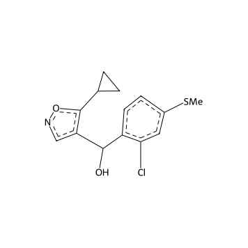 CSc1ccc(C(O)c2cnoc2C2CC2)c(Cl)c1